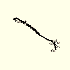 CCCCC/C=C\C/C=C\CCCCCCCC(=O)OCCCCCCCCCCCCCCCCCCCCCCCCCCCCCC(=O)N[C@@H](CO)[C@H](O)/C=C/C(O)CCCCCCCCCCCC